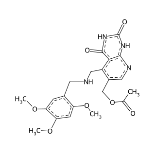 COc1cc(OC)c(OC)cc1CNCc1c(COC(C)=O)cnc2[nH]c(=O)[nH]c(=O)c12